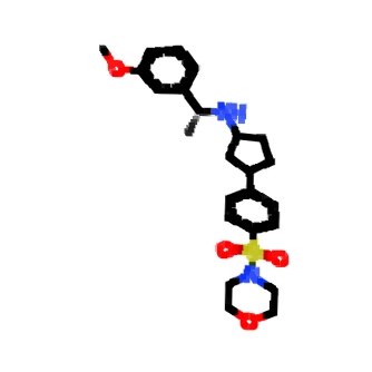 COc1cccc([C@@H](C)NC2CCC(c3ccc(S(=O)(=O)N4CCOCC4)cc3)C2)c1